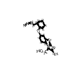 CCc1nc2sc3cc(Oc4ccccc4CN=[N+]=[N-])ccc3n2c1C(=O)O